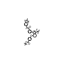 Cc1nc2ccc(N(C)C(=O)c3cccc(-n4nc(C(F)(F)F)c5c4C(Oc4ccc(C(=O)OC(C)(C)C)cc4)CCC5)c3)cn2n1